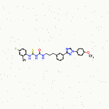 CC(C)c1cc(F)ccc1NC(=S)NC(=O)NCCCc1cccc(-c2ncn(-c3ccc(OC(F)(F)F)cc3)n2)c1